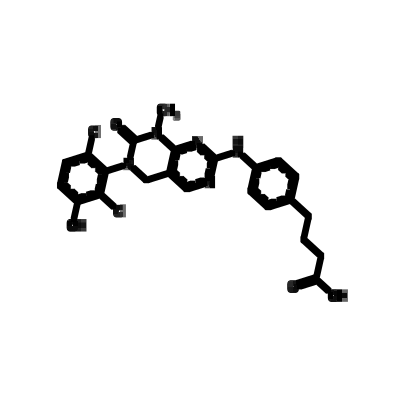 CN1C(=O)N(c2c(Cl)ccc(O)c2Cl)Cc2cnc(Nc3ccc(CCCC(=O)O)cc3)nc21